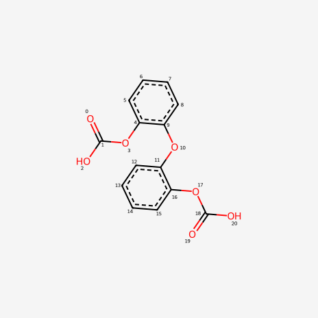 O=C(O)Oc1ccccc1Oc1ccccc1OC(=O)O